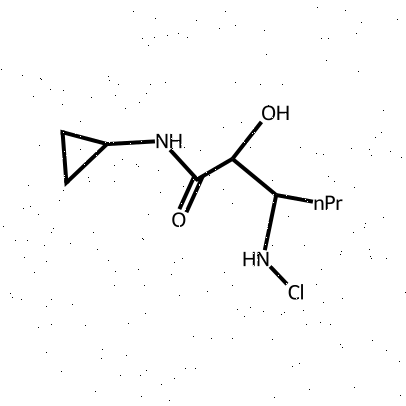 CCCC(NCl)C(O)C(=O)NC1CC1